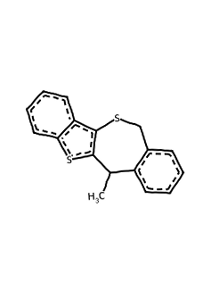 CC1c2ccccc2CSc2c1sc1ccccc21